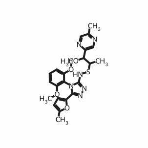 COc1cccc(OC)c1-n1c(NSC(C)C(O)c2cnc(C)cn2)nnc1-c1ccc(C)o1